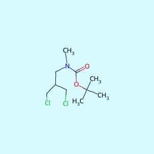 CN(CC(CCl)CCl)C(=O)OC(C)(C)C